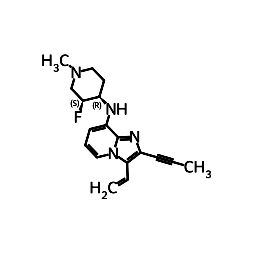 C=Cc1c(C#CC)nc2c(N[C@@H]3CCN(C)C[C@@H]3F)cccn12